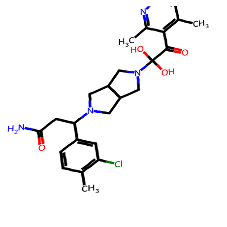 Cc1ccc(C(CC(N)=O)N2CC3CN(C(O)(O)C(=O)c4c(C)ccnc4C)CC3C2)cc1Cl